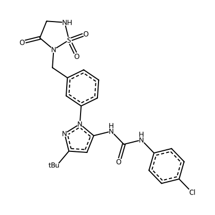 CC(C)(C)c1cc(NC(=O)Nc2ccc(Cl)cc2)n(-c2cccc(CN3C(=O)CNS3(=O)=O)c2)n1